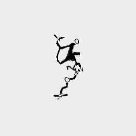 CN(C)C=C1CCC(C)(c2cnn(COCC[Si](C)(C)C)n2)C1=O